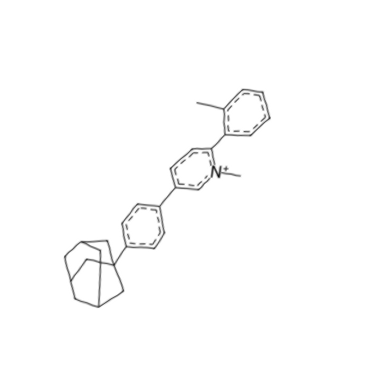 Cc1ccccc1-c1ccc(-c2ccc(C34CC5CC(CC(C5)C3)C4)cc2)c[n+]1C